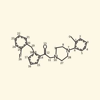 Cc1ccccc1N1CCN(CC(=O)c2cccn2Cc2ccccc2F)CC1